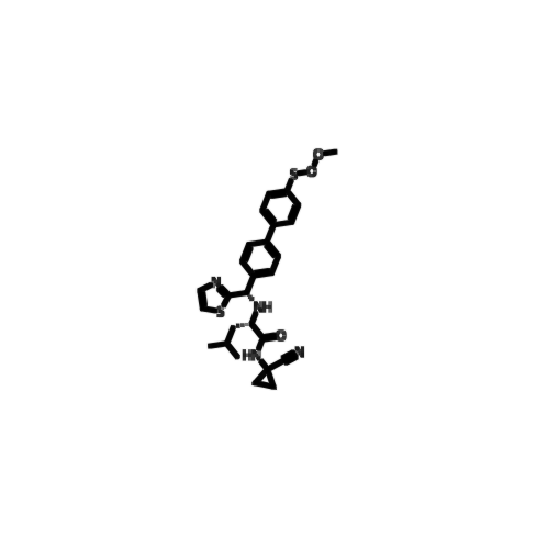 COOSc1ccc(-c2ccc([C@H](N[C@@H](CC(C)C)C(=O)NC3(C#N)CC3)c3nccs3)cc2)cc1